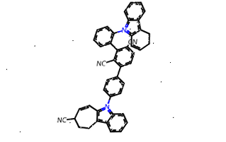 N#Cc1ccc(-c2ccc(-n3c4c(c5ccccc53)CCC(C#N)C=C4)cc2)c(C#N)c1-c1ccccc1-n1c2c(c3ccccc31)CCC=C2